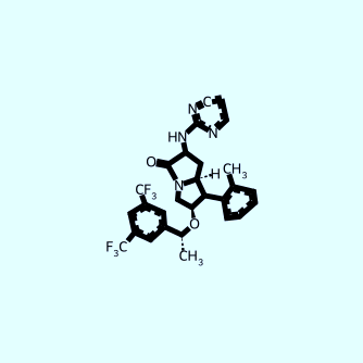 Cc1ccccc1C1[C@@H](O[C@H](C)c2cc(C(F)(F)F)cc(C(F)(F)F)c2)CN2C(=O)C(Nc3ncccn3)C[C@@H]12